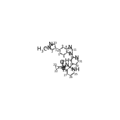 Cn1cc(-c2ccc3c(c2)ncn3-c2cc(C3(NS(=O)(=O)C4CC4)NC=CC=C3F)ccn2)cn1